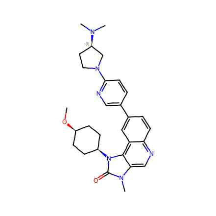 CO[C@H]1CC[C@@H](n2c(=O)n(C)c3cnc4ccc(-c5ccc(N6CC[C@@H](N(C)C)C6)nc5)cc4c32)CC1